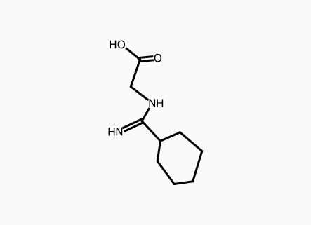 N=C(NCC(=O)O)C1CCCCC1